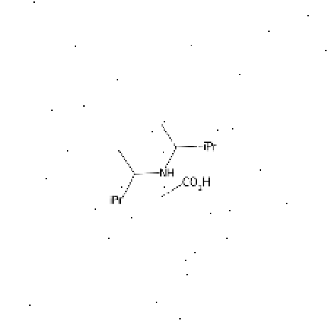 CC(=O)O.CC(C)C(C)NC(C)C(C)C